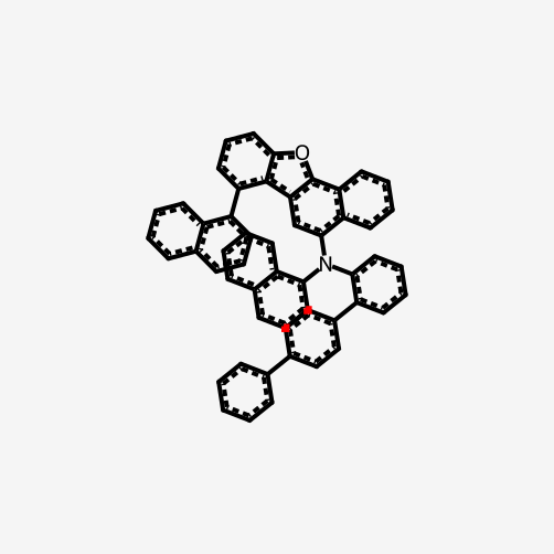 c1ccc(-c2ccc(-c3ccccc3N(c3cccc4ccccc34)c3cc4c(oc5cccc(-c6cccc7ccccc67)c54)c4ccccc34)cc2)cc1